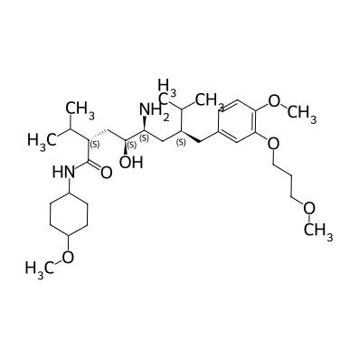 COCCCOc1cc(C[C@@H](C[C@H](N)[C@@H](O)C[C@H](C(=O)NC2CCC(OC)CC2)C(C)C)C(C)C)ccc1OC